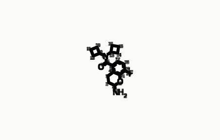 NC1CCc2c(C(=O)N(C3CCC3)C3CCC3)ccc(F)c2O1